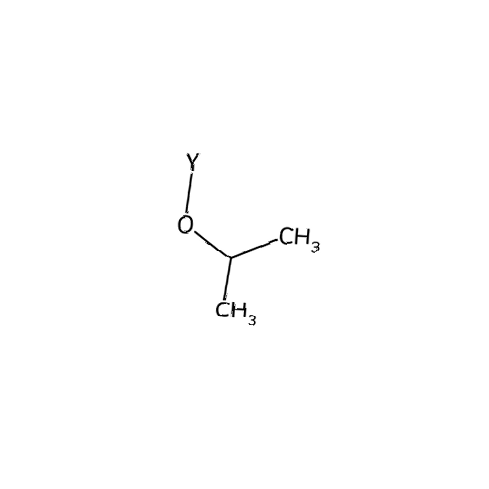 CC(C)[O][Y]